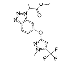 CCOC(=O)C(C)n1nnc2ccc(Oc3cc(C(F)(F)F)n(C)n3)cc21